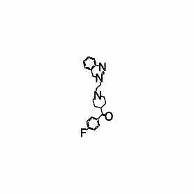 O=C(c1ccc(F)cc1)C1CCN(CCN2C=Nc3ccccc3C2)CC1